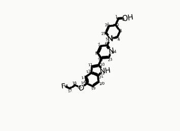 OCC1CCN(c2ccc(-c3cc4cc(OCCF)ccc4[nH]3)cn2)CC1